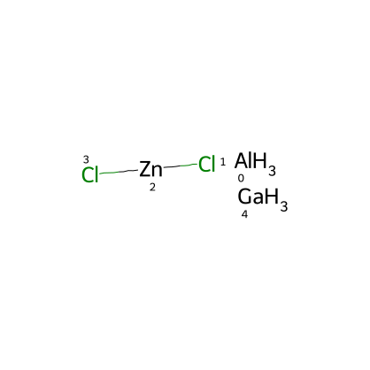 [AlH3].[Cl][Zn][Cl].[GaH3]